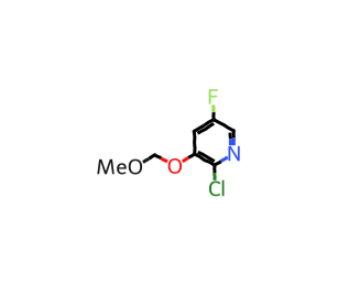 COCOc1cc(F)cnc1Cl